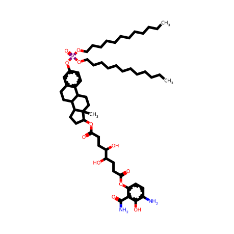 CCCCCCCCCCCCOP(=O)(OCCCCCCCCCCCC)Oc1ccc2c(c1)CCC1C2CCC2(C)C(OC(=O)CCC(O)C(O)CCC(=O)Oc3ccc(N)c(O)c3C(N)=O)CCC12